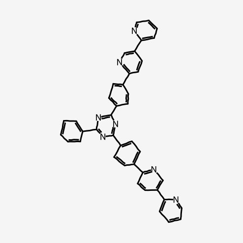 c1ccc(-c2nc(-c3ccc(-c4ccc(-c5ccccn5)cn4)cc3)nc(-c3ccc(-c4ccc(-c5ccccn5)cn4)cc3)n2)cc1